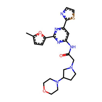 Cc1ccc(-c2nc(NC(=O)CN3CCC(N4CCOCC4)C3)cc(-c3nccs3)n2)o1